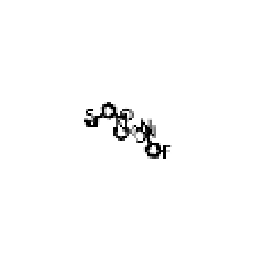 O=C(c1cccc(-c2cccs2)c1)N1CCCC[C@H]1Cc1nnc(-c2cccc(F)c2)o1